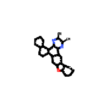 N#Cc1nc2c3cc4c(cc3c3ccc5ccccc5c3c2nc1C#N)oc1ccccc14